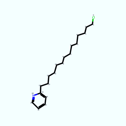 ClCCCCCCCCCCCCCCc1ccccn1